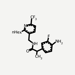 CCCCCCc1nc(C(F)(F)F)ccc1CNC(=O)C(C)c1ccc(N)c(F)c1